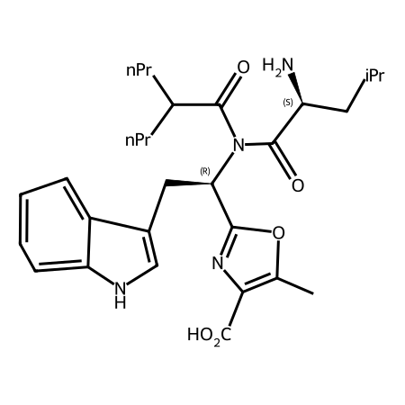 CCCC(CCC)C(=O)N(C(=O)[C@@H](N)CC(C)C)[C@H](Cc1c[nH]c2ccccc12)c1nc(C(=O)O)c(C)o1